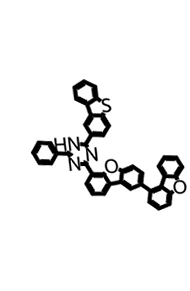 c1ccc(C2=NC(c3cccc4c3oc3ccc(-c5cccc6oc7ccccc7c56)cc34)=NC(c3ccc4sc5ccccc5c4c3)N2)cc1